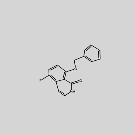 O=c1[nH]ccc2c(F)ccc(OCc3ccccc3)c12